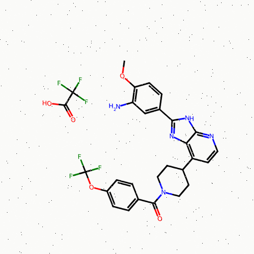 COc1ccc(-c2nc3c(C4CCN(C(=O)c5ccc(OC(F)(F)F)cc5)CC4)ccnc3[nH]2)cc1N.O=C(O)C(F)(F)F